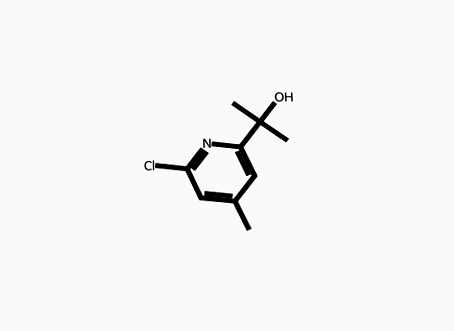 Cc1cc(Cl)nc(C(C)(C)O)c1